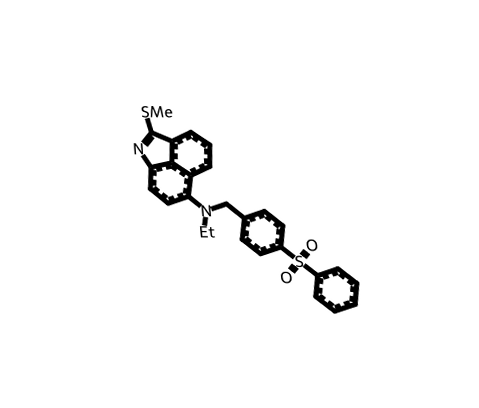 [CH2]SC1=Nc2ccc(N(CC)Cc3ccc(S(=O)(=O)c4ccccc4)cc3)c3cccc1c23